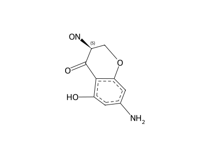 Nc1cc(O)c2c(c1)OC[C@H](N=O)C2=O